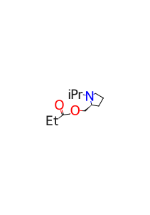 CCC(=O)COC[C@@H]1CCCN1C(C)C